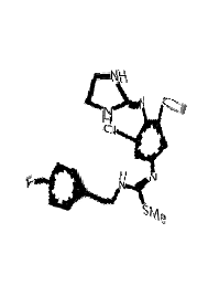 CSC(=Nc1cc(Cl)c(N=C2NCCN2)c(Cl)c1)NCc1ccc(F)cc1